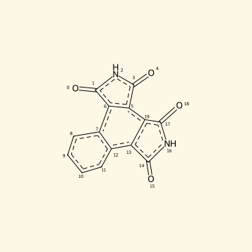 O=c1[nH]c(=O)c2c1c1ccccc1c1c(=O)[nH]c(=O)c12